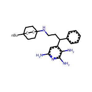 CCCCC12CCC(NCCC(c3ccccc3)c3cc(N)nc(N)c3N)(CC1)CC2